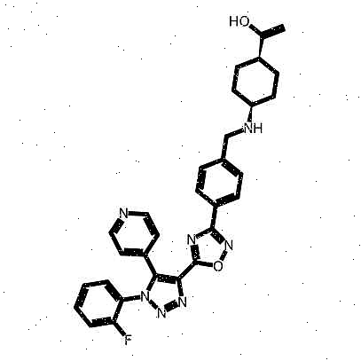 C=C(O)[C@H]1CC[C@@H](NCc2ccc(-c3noc(-c4nnn(-c5ccccc5F)c4-c4ccncc4)n3)cc2)CC1